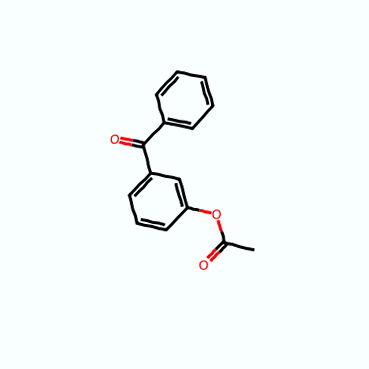 CC(=O)Oc1cccc(C(=O)c2ccccc2)c1